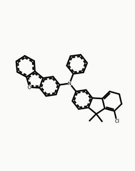 CC1(C)C2=C(Cl)CCC=C2c2cc(N(c3ccccc3)c3ccc4oc5ccccc5c4c3)ccc21